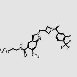 COCCNC(=O)c1cc2cn(CC3CN(C(=O)c4ccc(C(F)(F)F)c(F)c4)C3)nc2cc1C